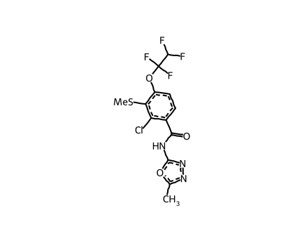 CSc1c(OC(F)(F)C(F)F)ccc(C(=O)Nc2nnc(C)o2)c1Cl